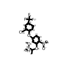 CO[PH](=O)C(C)Oc1cc(Oc2ccc(C(F)(F)F)cc2Cl)ccc1[N+](=O)[O-]